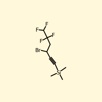 C[Si](C)(C)C#CC(Br)CC(F)(F)C(F)F